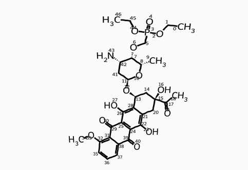 CCOP(=O)(CO[C@@H]1[C@H](C)O[C@@H](O[C@H]2C[C@](O)(C(C)=O)Cc3c(O)c4c(c(O)c32)C(=O)c2c(OC)cccc2C4=O)C[C@@H]1N)OCC